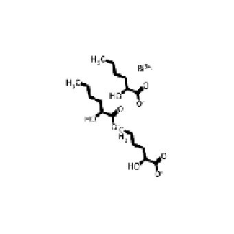 CCCCC(O)C(=O)[O-].CCCCC(O)C(=O)[O-].CCCCC(O)C(=O)[O-].[Bi+3]